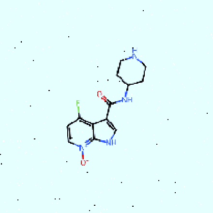 O=C(NC1CCNCC1)c1c[nH]c2c1c(F)cc[n+]2[O-]